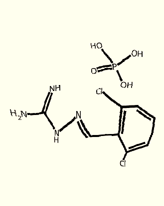 N=C(N)NN=Cc1c(Cl)cccc1Cl.O=P(O)(O)O